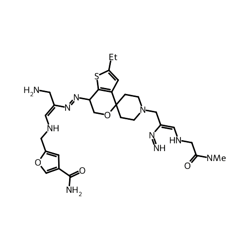 CCc1cc2c(s1)C(/N=N/C(=C\NCc1cc(C(N)=O)co1)CN)COC21CCN(C/C(=C/NCC(=O)NC)N=N)CC1